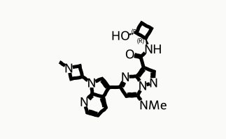 CNc1cc(-c2cn(C3CN(C)C3)c3ncccc23)nc2c(C(=O)N[C@@H]3CC[C@H]3O)cnn12